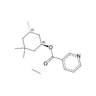 CC.C[C@@H]1C[C@@H](OC(=O)c2cccnc2)CC(C)(C)C1